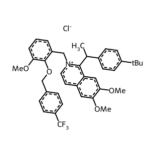 COc1cc2cc[n+](Cc3cccc(OC)c3OCc3ccc(C(F)(F)F)cc3)c(C(C)c3ccc(C(C)(C)C)cc3)c2cc1OC.[Cl-]